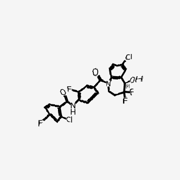 O=C(Nc1ccc(C(=O)N2CCC(F)(F)[C@H](O)c3cc(Cl)ccc32)cc1F)c1ccc(F)cc1Cl